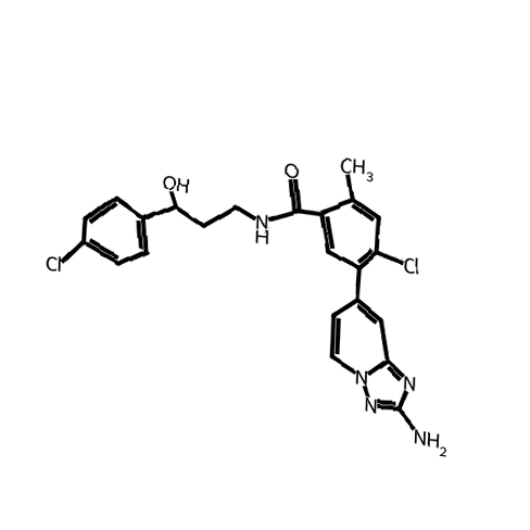 Cc1cc(Cl)c(-c2ccn3nc(N)nc3c2)cc1C(=O)NCCC(O)c1ccc(Cl)cc1